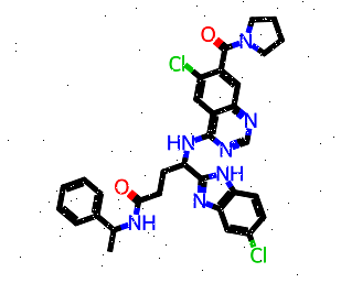 CC(NC(=O)CCC(Nc1ncnc2cc(C(=O)N3CCCC3)c(Cl)cc12)c1nc2cc(Cl)ccc2[nH]1)c1ccccc1